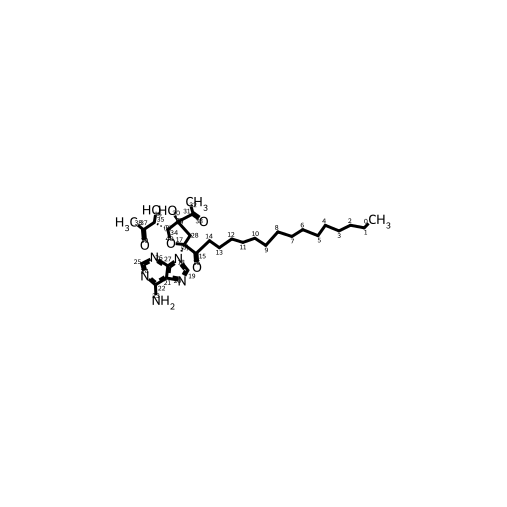 CCCCCCCCCCCCCCCC(=O)[C@]1(n2cnc3c(N)ncnc32)C[C@@](O)(C(C)=O)[C@@H](C(O)C(C)=O)O1